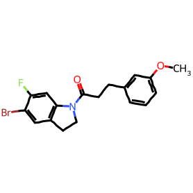 COc1cccc(CCC(=O)N2CCc3cc(Br)c(F)cc32)c1